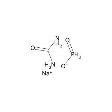 NC(N)=O.O=[PH2][O-].[Na+]